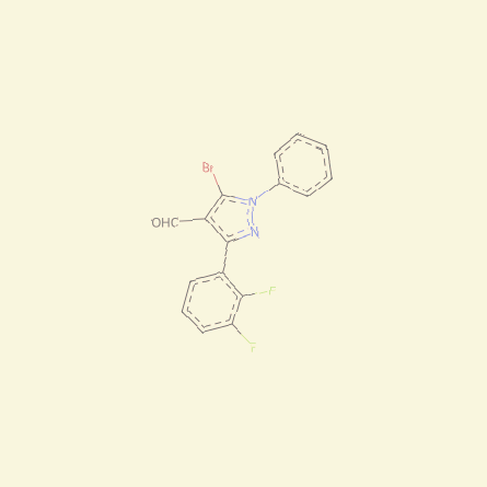 O=Cc1c(-c2cccc(F)c2F)nn(-c2ccccc2)c1Br